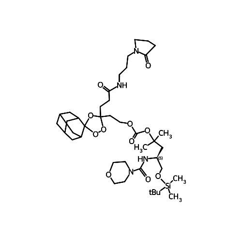 CC(C)(C[C@@H](CO[Si](C)(C)C(C)(C)C)NC(=O)N1CCOCC1)OC(=O)OCCC1(CCC(=O)NCCCN2CCCC2=O)OOC2(O1)C1CC3CC(C1)CC2C3